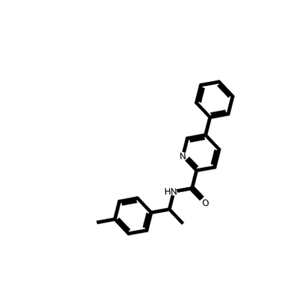 Cc1ccc(C(C)NC(=O)c2ccc(-c3ccccc3)cn2)cc1